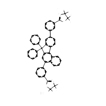 CC1(C)N=C(c2cccc(-c3ccc4c(c3)C(c3ccccc3)(c3ccccc3)c3cc(-c5cccc(C6=NC(C)(C)C(C)(C)S6)c5)c5ccccc5c3-4)c2)SC1(C)C